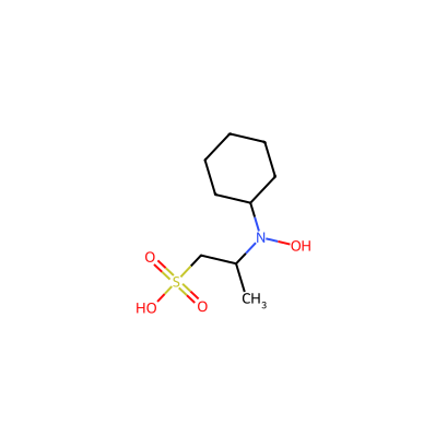 CC(CS(=O)(=O)O)N(O)C1CCCCC1